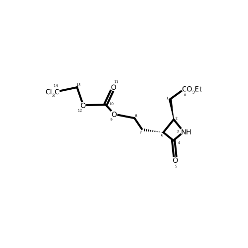 CCOC(=O)C[C@H]1NC(=O)[C@@H]1CCOC(=O)OCC(Cl)(Cl)Cl